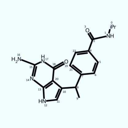 CC(C)NC(=O)c1ccc(C(C)c2c[nH]c3nc(N)[nH]c(=O)c23)cc1